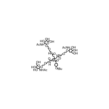 CC(=O)NC1C(OCCOCCNC(=O)CCC(CCC(=O)NCCOCCOC2OC(CO)C(O)C(O)C2NC(C)=O)(CCC(=O)NCCOCCOC2OC(CO)C(O)C(O)C2NC(C)=O)NC(=O)C2CCC(OC(C)(C)C)CC2)CC(CO)C(O)C1O